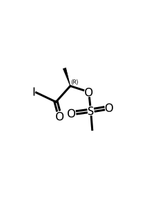 C[C@@H](OS(C)(=O)=O)C(=O)I